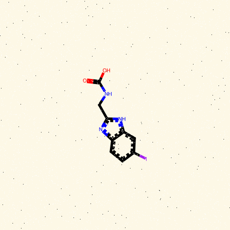 O=C(O)NCc1nc2ccc(I)cc2[nH]1